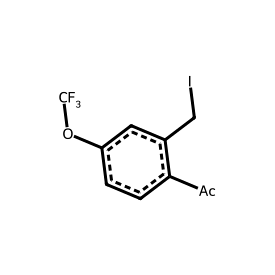 CC(=O)c1ccc(OC(F)(F)F)cc1CI